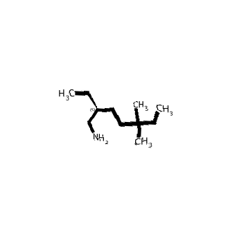 CC[C@H](CN)CCC(C)(C)CC